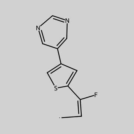 [CH2]/C=C(/F)c1cc(-c2cncnc2)cs1